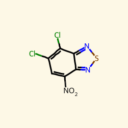 O=[N+]([O-])c1cc(Cl)c(Cl)c2nsnc12